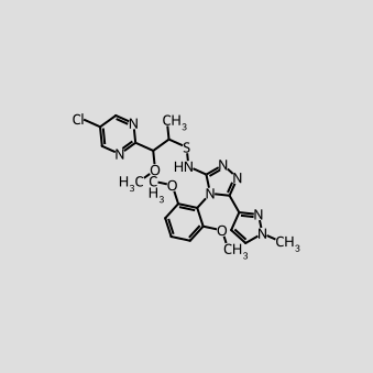 COc1cccc(OC)c1-n1c(NSC(C)C(OC)c2ncc(Cl)cn2)nnc1-c1ccn(C)n1